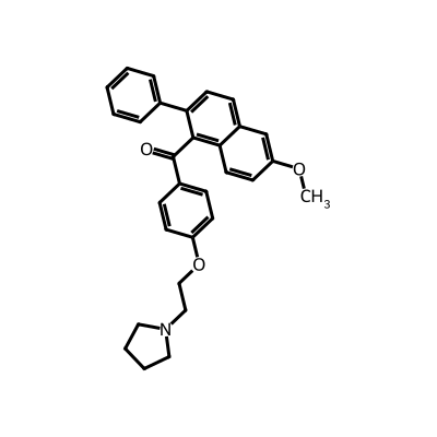 COc1ccc2c(C(=O)c3ccc(OCCN4CCCC4)cc3)c(-c3ccccc3)ccc2c1